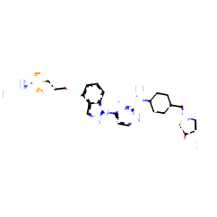 CNS(=O)(=O)CCCOc1cccc2c1cnn2-c1ccnc(NC2CCC(C(=O)N3CCC(O)C3)CC2)n1